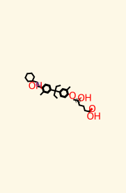 CCC(CC)(c1ccc(/C=C/C2(O)CCCCC2)c(C)c1)c1ccc(OC[C@@H](O)CCCC(=O)O)c(C)c1